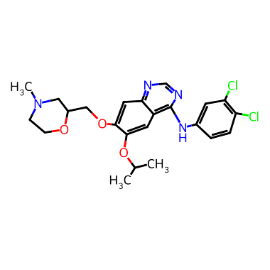 CC(C)Oc1cc2c(Nc3ccc(Cl)c(Cl)c3)ncnc2cc1OCC1CN(C)CCO1